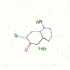 Br.CCCN1CCCC2CC(=O)C(Br)CC21